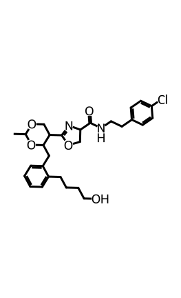 CC1OCC(C2=NC(C(=O)NCCc3ccc(Cl)cc3)CO2)C(Cc2ccccc2CCCCO)O1